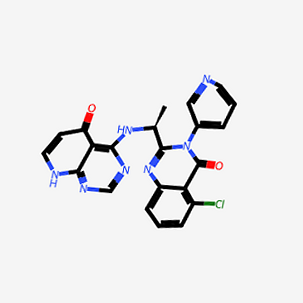 C[C@H](Nc1ncnc2[nH]ccc(=O)c12)c1nc2cccc(Cl)c2c(=O)n1-c1cccnc1